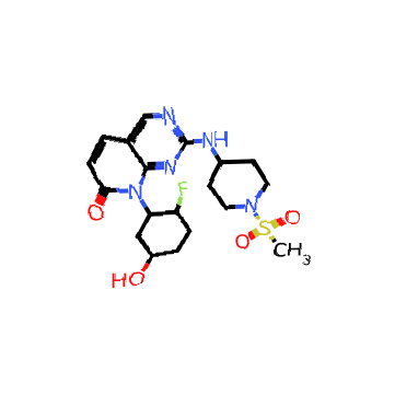 CS(=O)(=O)N1CCC(Nc2ncc3ccc(=O)n(C4CC(O)CCC4F)c3n2)CC1